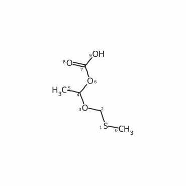 CSCOC(C)OC(=O)O